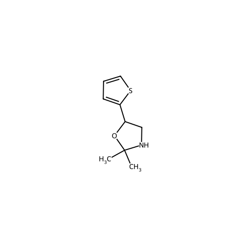 CC1(C)NCC(c2cccs2)O1